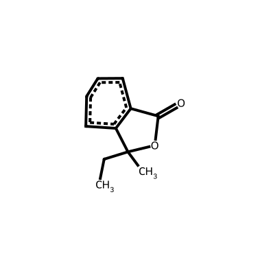 CCC1(C)OC(=O)c2ccccc21